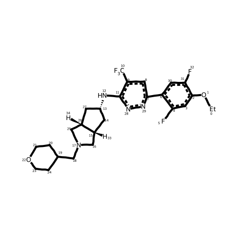 CCOc1cc(F)c(-c2cc(C(F)(F)F)c(N[C@@H]3C[C@@H]4CN(CC5CCOCC5)C[C@@H]4C3)nn2)cc1F